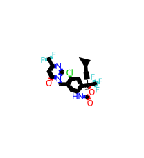 O=C1Nc2cc(Cn3cnc(C(F)F)cc3=O)c(Cl)cc2[C@@](C#CC2CC2)(C(F)(F)F)O1